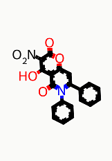 O=c1oc2cc(-c3ccccc3)n(-c3ccccc3)c(=O)c2c(O)c1[N+](=O)[O-]